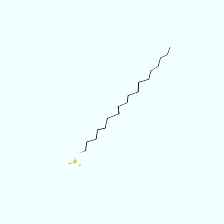 CCCCCCCCCCCCCCCCCCSP(O)(=S)S